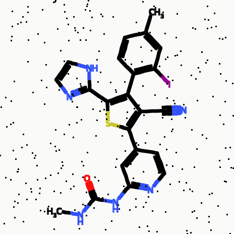 CNC(=O)Nc1cc(-c2sc(-c3ncc[nH]3)c(-c3ccc(C)cc3I)c2C#N)ccn1